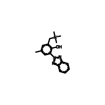 Cc1cc(C[N+](C)(C)C)c(O)c(-n2nc3ccccc3n2)c1